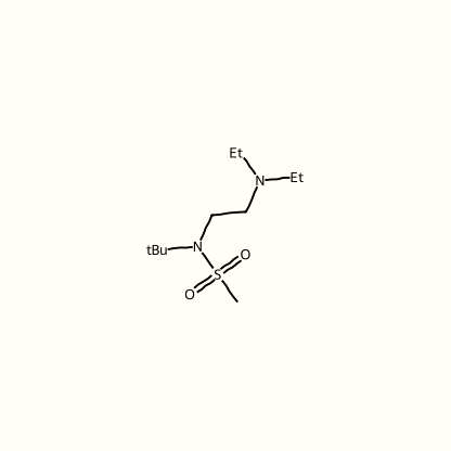 CCN(CC)CCN(C(C)(C)C)S(C)(=O)=O